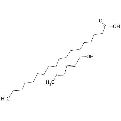 CC=CC=CCO.CCCCCCCCCCCCCCCCCC(=O)O